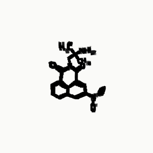 CC(C)(N)CN1C(=O)c2cccc3cc([N+](=O)[O-])cc(c23)C1=O